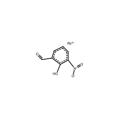 O=Cc1cccc([N+](=O)[O-])c1O.[Pb+4]